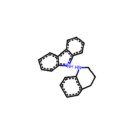 c1ccc2c(c1)CCCN2.c1ccc2c(c1)[nH]c1ccccc12